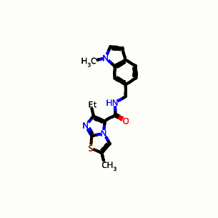 CCc1nc2sc(C)cn2c1C(=O)NCc1ccc2ccn(C)c2c1